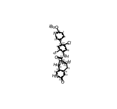 CC(C)COc1ccc(-c2cc(F)c(NC(=O)N3[C@H]4CC[C@@H]3c3c[nH]c(=O)cc3C4)cc2Cl)cn1